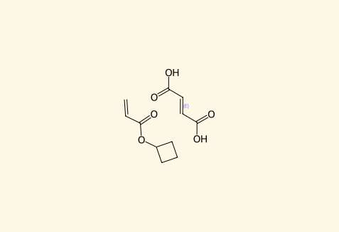 C=CC(=O)OC1CCC1.O=C(O)/C=C/C(=O)O